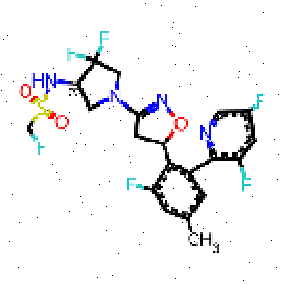 Cc1cc(F)c(C2CC(N3C[C@@H](NS(=O)(=O)CF)C(F)(F)C3)=NO2)c(-c2ncc(F)cc2F)c1